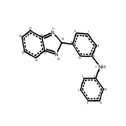 c1ccc(Nc2cccc(C3N=c4ccccc4=N3)c2)cc1